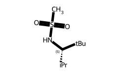 CC(C)[C@H](NS(C)(=O)=O)C(C)(C)C